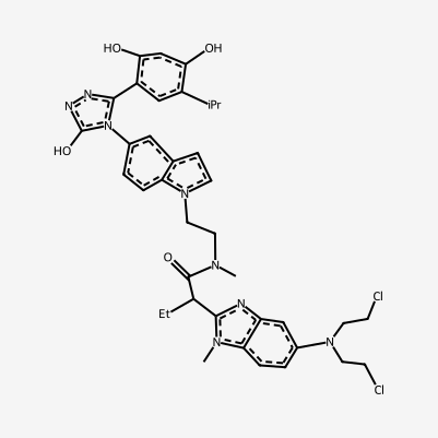 CCC(C(=O)N(C)CCn1ccc2cc(-n3c(O)nnc3-c3cc(C(C)C)c(O)cc3O)ccc21)c1nc2cc(N(CCCl)CCCl)ccc2n1C